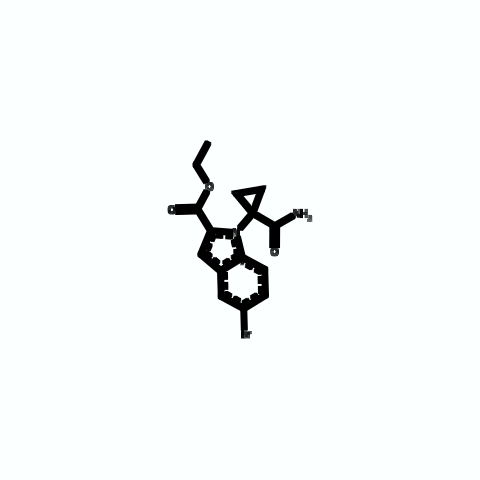 CCOC(=O)c1cc2cc(Br)ccc2n1C1(C(N)=O)CC1